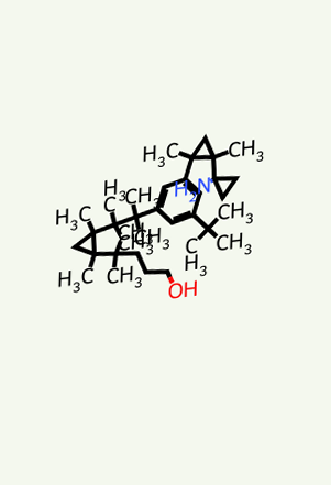 CC(C)(C)c1cc(C(C)(C)C(C)(C)C2(C)CC2(C)C(C)(C)CCCO)cc(C2(C)CC2(C)C2(N)CC2)c1